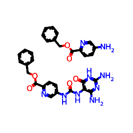 Nc1ccc(C(=O)OCc2ccccc2)nc1.Nc1nc(N)c(NC(=O)Nc2ccc(C(=O)OCc3ccccc3)nc2)c(=O)[nH]1